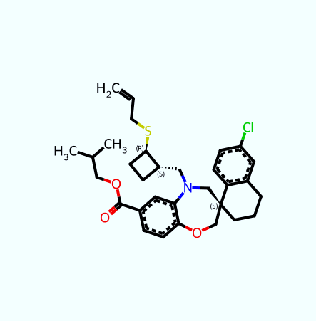 C=CCS[C@@H]1CC[C@H]1CN1C[C@@]2(CCCc3cc(Cl)ccc32)COc2ccc(C(=O)OCC(C)C)cc21